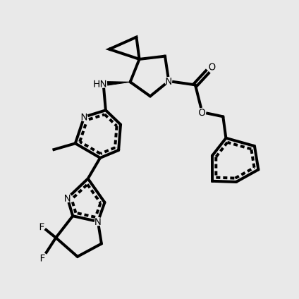 Cc1nc(N[C@@H]2CN(C(=O)OCc3ccccc3)CC23CC3)ccc1-c1cn2c(n1)C(F)(F)CC2